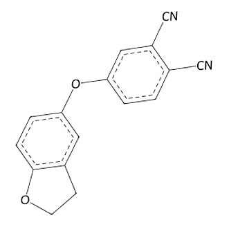 N#Cc1ccc(Oc2ccc3c(c2)CCO3)cc1C#N